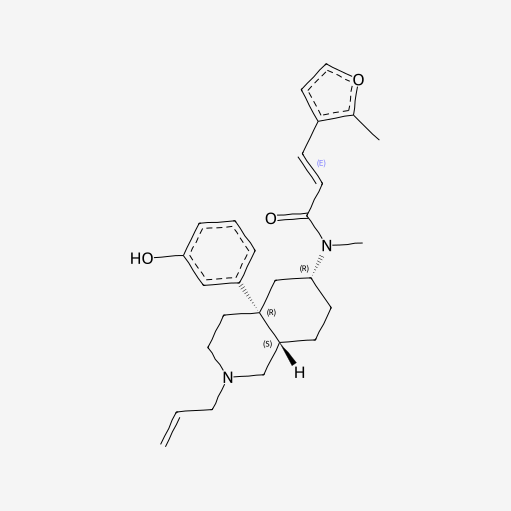 C=CCN1CC[C@@]2(c3cccc(O)c3)C[C@H](N(C)C(=O)/C=C/c3ccoc3C)CC[C@@H]2C1